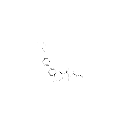 C=C/C=C(\C)NC(=O)C1=Cc2cc(-c3ccc(OCCOCCCC)cc3)ccc2N(C)CC1